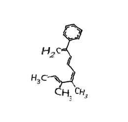 C=C(C=CC=C(C)C(C)=CC)c1ccccc1